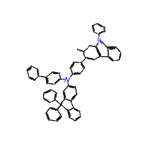 CC1Cc2c(c3ccccc3n2-c2ccccc2)C=C1c1ccc(N(c2ccc(-c3ccccc3)cc2)c2ccc3c(c2)C(c2ccccc2)(c2ccccc2)c2ccccc2-3)cc1